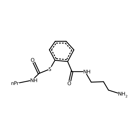 CCCNC(=O)Sc1ccccc1C(=O)NCCCN